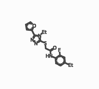 CCc1ccc(NC(=O)CSc2nnc(-c3ccco3)n2CC)c(F)c1